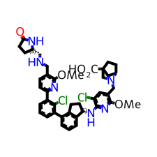 COc1nc(-c2cccc(-c3cccc4c3CC[C@@H]4Nc3nc(OC)c(CN4CC5(C(=O)O)CCC4C5)cc3Cl)c2Cl)ccc1CNC[C@@H]1CCC(=O)N1